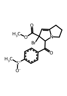 COC(=O)C1(Br)C=C2CCCN2C1C(=O)c1ccc([S+](C)[O-])cc1